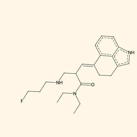 CCN(CC)C(=O)C(/C=C1\CCc2c[nH]c3cccc1c23)CNCCCF